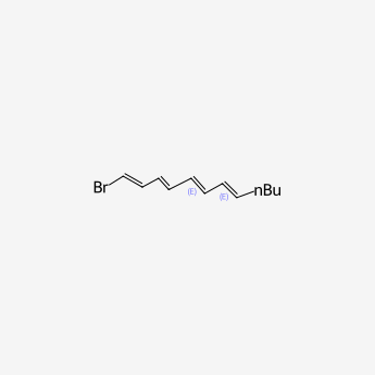 CCCC/C=C/C=C/C=CC=CBr